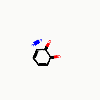 N#N.O=C1C=CC=CC1=O